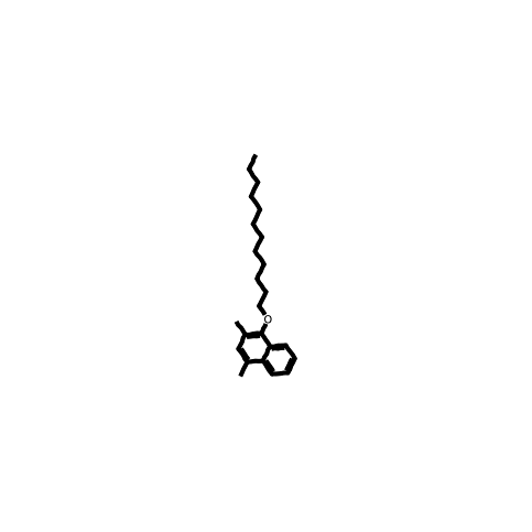 CCCCCCCCCCCCOc1c(C)cc(C)c2ccccc12